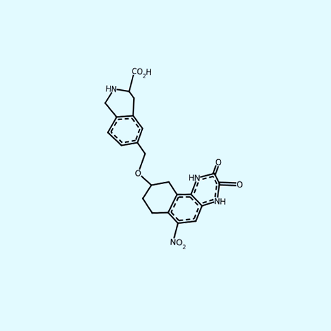 O=C(O)C1Cc2cc(COC3CCc4c([N+](=O)[O-])cc5[nH]c(=O)c(=O)[nH]c5c4C3)ccc2CN1